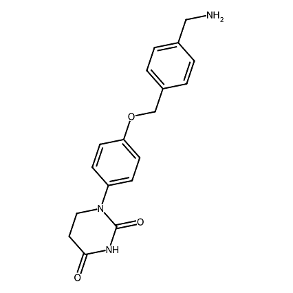 NCc1ccc(COc2ccc(N3CCC(=O)NC3=O)cc2)cc1